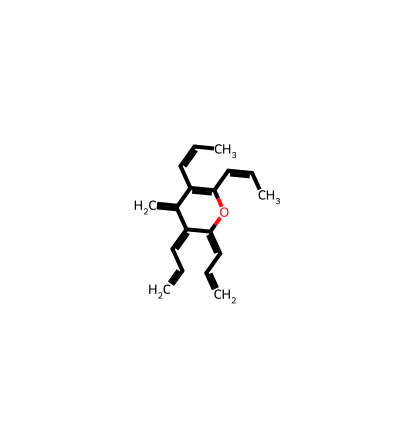 C=C/C=C1/C(=C)C(/C=C\C)=C(/C=C\C)O/C1=C/C=C